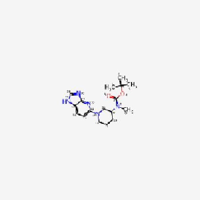 CN(C(=O)OC(C)(C)C)[C@@H]1CCCN(c2ccc3[nH]cnc3n2)C1